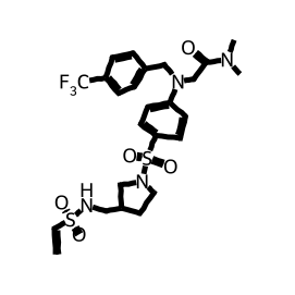 C=CS(=O)(=O)NCC1CCN(S(=O)(=O)c2ccc(N(CC(=O)N(C)C)Cc3ccc(C(F)(F)F)cc3)cc2)C1